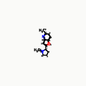 Cc1ccc2oc([C@H]3CCCN3C)cc2n1